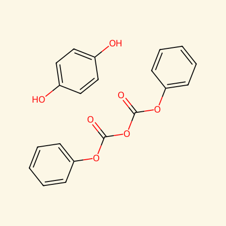 O=C(OC(=O)Oc1ccccc1)Oc1ccccc1.Oc1ccc(O)cc1